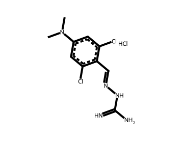 CN(C)c1cc(Cl)c(C=NNC(=N)N)c(Cl)c1.Cl